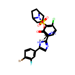 C[C@H](N)C(=O)OC1CC2CCC(C1)N2S(=O)(=O)c1cc(-c2ncc(-c3ccc(Br)c(F)c3)[nH]2)ccc1Cl